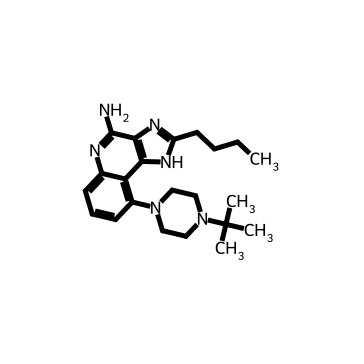 CCCCc1nc2c(N)nc3cccc(N4CCN(C(C)(C)C)CC4)c3c2[nH]1